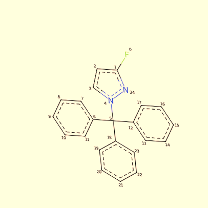 Fc1ccn(C(c2ccccc2)(c2ccccc2)c2ccccc2)n1